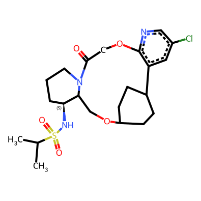 CC(C)S(=O)(=O)N[C@H]1CCCN2C(=O)COc3ncc(Cl)cc3C3CCC(CC3)OCC12